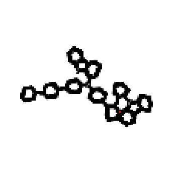 C1=CCC(C2C=CC(c3ccc(N(c4ccc(-c5ccccc5-c5ccccc5-n5c6ccccc6c6ccccc65)cc4)c4cccc5c4sc4ccccc45)cc3)=CC2)C=C1